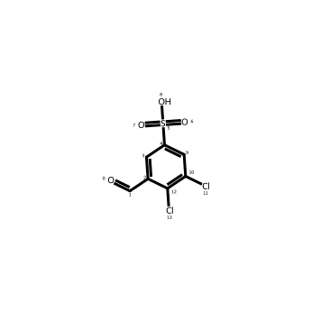 O=Cc1cc(S(=O)(=O)O)cc(Cl)c1Cl